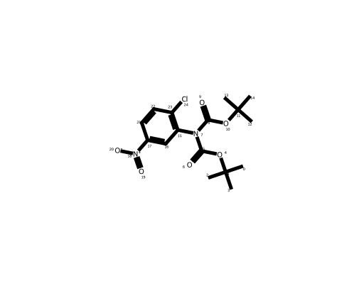 CC(C)(C)OC(=O)N(C(=O)OC(C)(C)C)c1cc([N+](=O)[O-])ccc1Cl